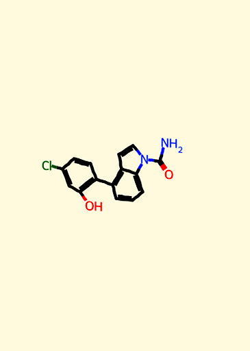 NC(=O)n1ccc2c(-c3ccc(Cl)cc3O)cccc21